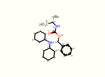 C1CCC(NC2CCCCC2)CC1.CC(C)(C)[C@H](NC(=O)OCc1ccccc1)C(=O)O